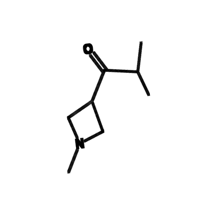 CC(C)C(=O)C1CN(C)C1